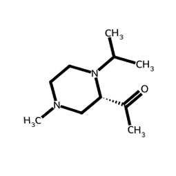 CC(=O)[C@@H]1CN(C)CCN1C(C)C